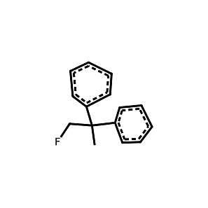 CC(CF)(c1ccccc1)c1ccccc1